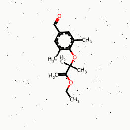 C=C(OCC)C(C)(C)Oc1c(C)cc(C=O)cc1C